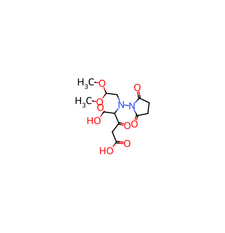 COC(CN(C(C(=O)O)C(=O)CC(=O)O)N1C(=O)CCC1=O)OC